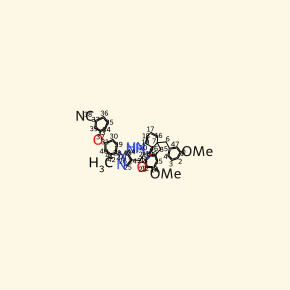 COc1cccc(CC2(Cc3cccc(OC)c3)C=CC=C3NC(C(=O)c4cnn(-c5ccc(Oc6cccc(C#N)c6)cc5C)c4N)C=C32)c1